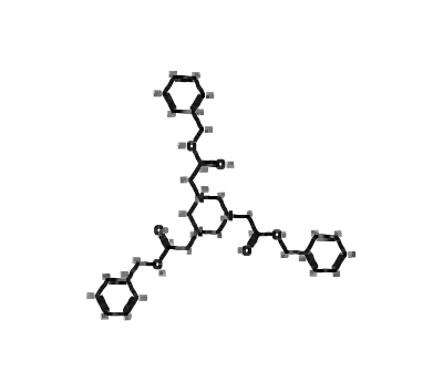 O=C(CN1CN(CC(=O)OCc2ccccc2)CN(CC(=O)OCc2ccccc2)C1)OCc1ccccc1